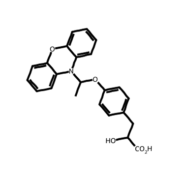 CC(Oc1ccc(CC(O)C(=O)O)cc1)N1c2ccccc2Oc2ccccc21